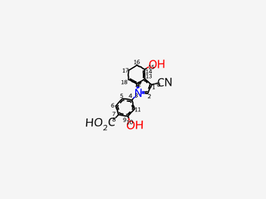 N#Cc1cn(-c2ccc(C(=O)O)c(O)c2)c2c1=C(O)CCC=2